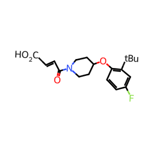 CC(C)(C)c1cc(F)ccc1OC1CCN(C(=O)/C=C/C(=O)O)CC1